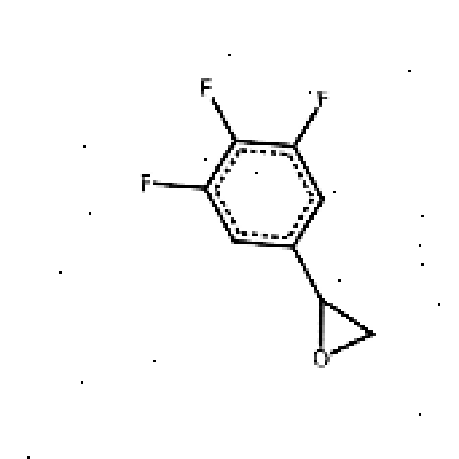 Fc1cc(C2CO2)cc(F)c1F